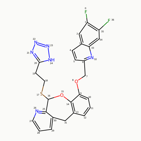 Fc1cc2ccc(COc3cccc4c3OC(SCCc3nnn[nH]3)c3ncccc3C4)nc2cc1F